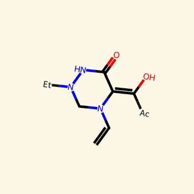 C=CN1CN(CC)NC(=O)/C1=C(\O)C(C)=O